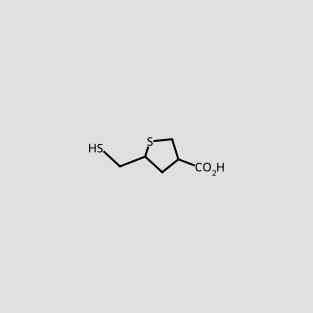 O=C(O)C1CSC(CS)C1